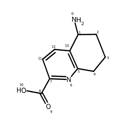 NC1CCCc2nc(C(=O)O)ccc21